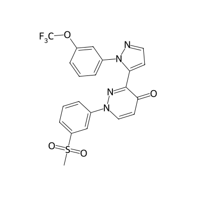 CS(=O)(=O)c1cccc(-n2ccc(=O)c(-c3ccnn3-c3cccc(OC(F)(F)F)c3)n2)c1